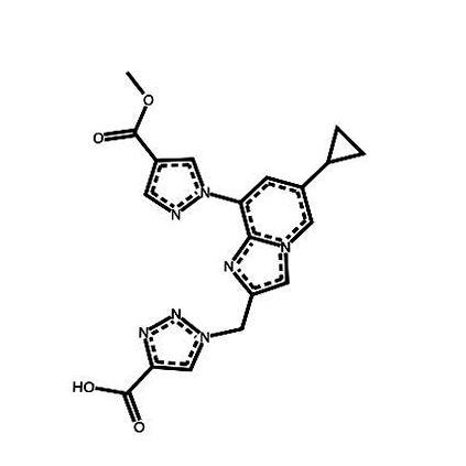 COC(=O)c1cnn(-c2cc(C3CC3)cn3cc(Cn4cc(C(=O)O)nn4)nc23)c1